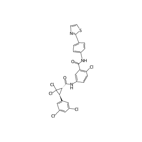 O=C(Nc1ccc(-c2nccs2)cc1)c1cc(NC(=O)[C@@H]2[C@@H](c3cc(Cl)cc(Cl)c3)C2(Cl)Cl)ccc1Cl